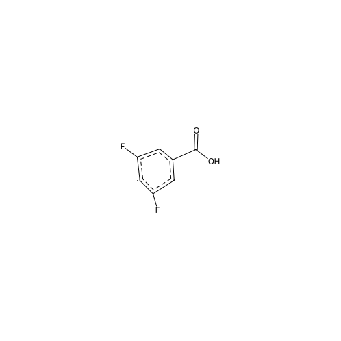 O=C(O)c1cc(F)[c]c(F)c1